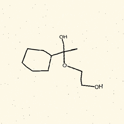 CC(O)(OCCO)C1CCCCC1